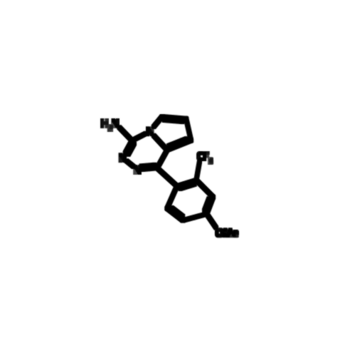 COc1ccc(-c2nnc(N)n3cccc23)c(C(F)(F)F)c1